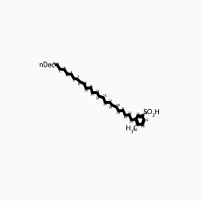 CCCCCCCCCCCCCCCCCCCCCCCCCCCCCCCCCCc1cc(S(=O)(=O)O)ccc1C